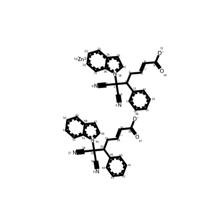 N#CC(C#N)(C(C/C=C/C(=O)[O-])c1ccccc1)n1ccc2ccccc21.N#CC(C#N)(C(C/C=C/C(=O)[O-])c1ccccc1)n1ccc2ccccc21.[Zn+2]